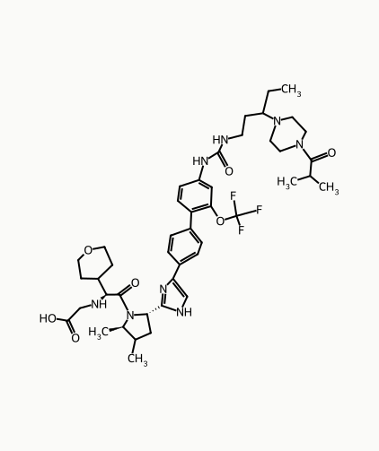 CCC(CCNC(=O)Nc1ccc(-c2ccc(-c3c[nH]c([C@@H]4CC(C)[C@@H](C)N4C(=O)[C@@H](NCC(=O)O)C4CCOCC4)n3)cc2)c(OC(F)(F)F)c1)N1CCN(C(=O)C(C)C)CC1